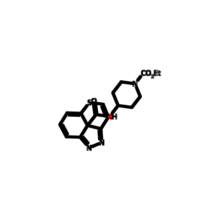 CCOC(=O)N1CCC(NC(=O)C23C4=CC=CC2=NN=C3C=CS4)CC1